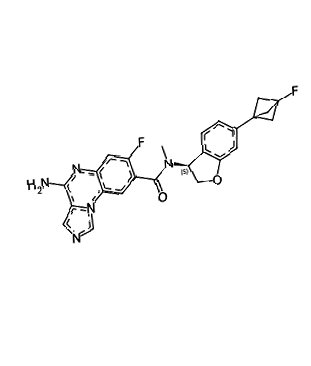 CN(C(=O)c1cc2c(cc1F)nc(N)c1cncn12)[C@@H]1COc2cc(C34CC(F)(C3)C4)ccc21